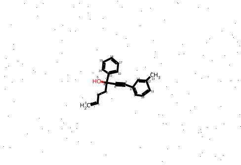 C=CCCC(O)(C#Cc1cccc(C)c1)c1ccccc1